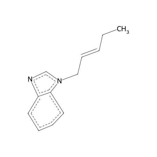 CCC=CCn1cnc2ccccc21